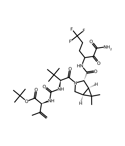 C=C(C)[C@H](NC(=O)N[C@H](C(=O)N1C[C@H]2[C@@H]([C@H]1C(=O)NC(CCC(F)(F)F)C(=O)C(N)=O)C2(C)C)C(C)(C)C)C(=O)OC(C)(C)C